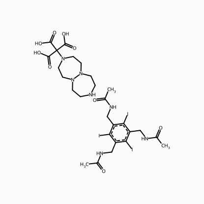 CC(=O)NCc1c(I)c(CNC(C)=O)c(I)c(CNC(C)=O)c1I.O=C(O)C(C(=O)O)(C(=O)O)N1CCN2CCNCCN2CC1